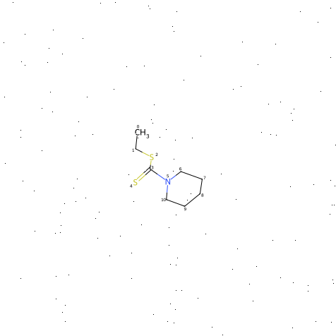 CCSC(=S)N1CCCCC1